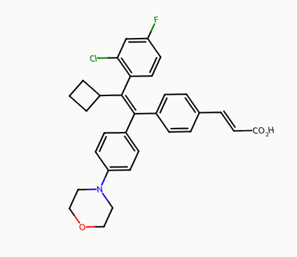 O=C(O)/C=C/c1ccc(/C(=C(\c2ccc(F)cc2Cl)C2CCC2)c2ccc(N3CCOCC3)cc2)cc1